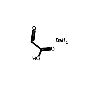 O=CC(=O)O.[BaH2]